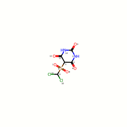 O=C1NC(=O)C(S(=O)(=O)C(Cl)Cl)C(=O)N1